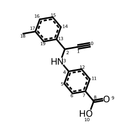 C#CC(Nc1ccc(C(=O)O)cc1)c1cccc(C)c1